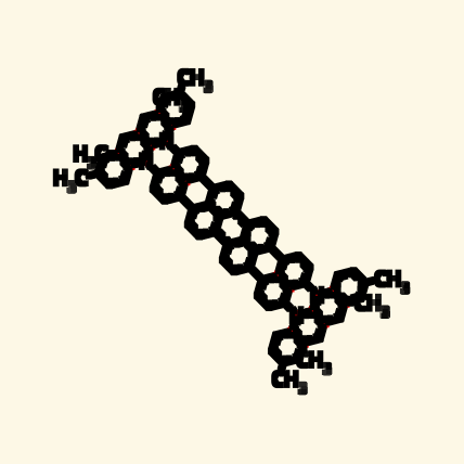 Cc1ccc(N(c2ccc(C)cc2)c2ccc(-c3ccc4c5ccc(-c6ccc(N(c7ccc(C)cc7)c7ccc(C)cc7)cc6)c6c(-c7ccc(N(c8ccc(C)cc8)c8ccc(C)cc8)cc7)ccc(c7ccc(-c8ccc(N(c9ccc(C)cc9)c9ccc(C)cc9)cc8)c3c47)c65)cc2)cc1